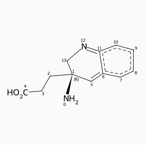 N[C@]1(CCC(=O)O)C=c2ccccc2=NC1